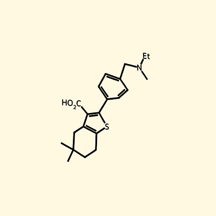 CCN(C)Cc1ccc(-c2sc3c(c2C(=O)O)CC(C)(C)CC3)cc1